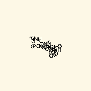 CC(C)CC(NC(=O)C(Cc1ccccc1)NC(=O)C(Cc1ccccc1)NC(=O)OC(C)(C)C)C(=O)NC(CCCCNC(=O)OC(C)(C)C)C(=O)N1CCC(P(C)(C)=O)CC1